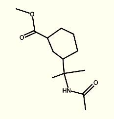 COC(=O)C1CCCC(C(C)(C)NC(C)=O)C1